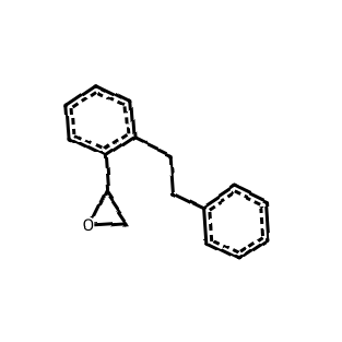 c1ccc(CCc2ccccc2C2CO2)cc1